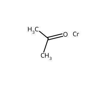 CC(C)=O.[Cr]